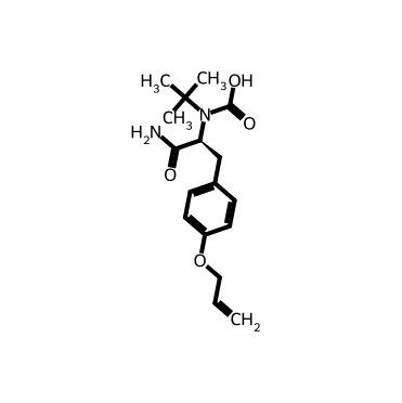 C=CCOc1ccc(C[C@@H](C(N)=O)N(C(=O)O)C(C)(C)C)cc1